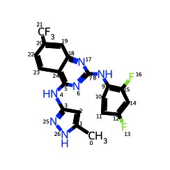 Cc1cc(Nc2nc(Nc3ccc(F)cc3F)nc3cc(C(F)(F)F)ccc23)n[nH]1